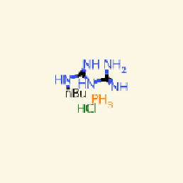 CCCCNC(=N)NC(=N)N.Cl.P